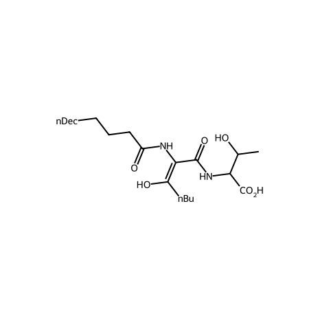 CCCCCCCCCCCCCC(=O)NC(C(=O)NC(C(=O)O)C(C)O)=C(O)CCCC